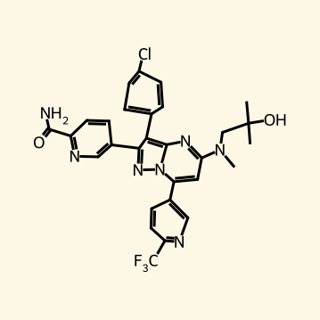 CN(CC(C)(C)O)c1cc(-c2ccc(C(F)(F)F)nc2)n2nc(-c3ccc(C(N)=O)nc3)c(-c3ccc(Cl)cc3)c2n1